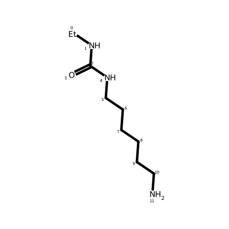 CCNC(=O)NCCCCCCN